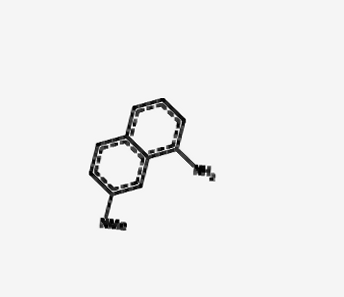 CNc1ccc2cccc(N)c2c1